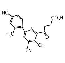 Cc1cc(C#N)ccc1-c1cc(C#N)c(O)c(C(=O)CCC(=O)O)n1